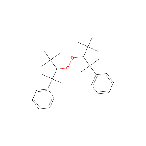 CC(C)(C)C(OOC(C(C)(C)C)C(C)(C)c1ccccc1)C(C)(C)c1ccccc1